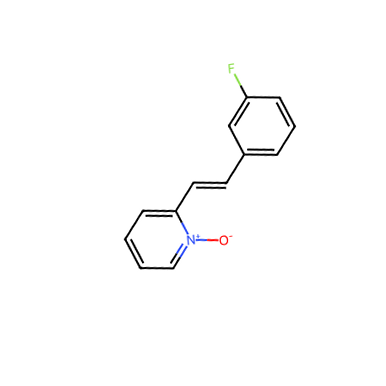 [O-][n+]1ccccc1C=Cc1cccc(F)c1